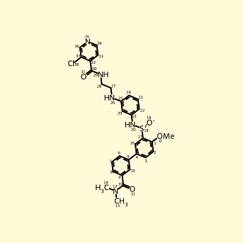 COc1ccc(-c2cccc(C(=O)N(C)C)c2)cc1[S+]([O-])Nc1cccc(NCCNC(=O)c2ccncc2Cl)c1